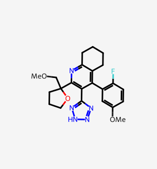 COCC1(c2nc3c(c(-c4cc(OC)ccc4F)c2-c2nn[nH]n2)CCCC3)CCCO1